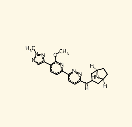 COc1nc(-c2ccc(NC3C[C@H]4CC[C@@H](C3)N4)nn2)ccc1-c1cnn(C)n1